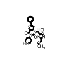 COCc1noc(Cn2c(=O)n(C3CCNCC3)c(=O)c3sc(-c4ccccc4)cc32)n1.Cl